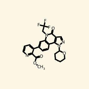 COC(=O)c1ncccc1-c1ccc2c3c(cnn3C3CCCCO3)c(=O)n(CC(F)(F)F)c2c1